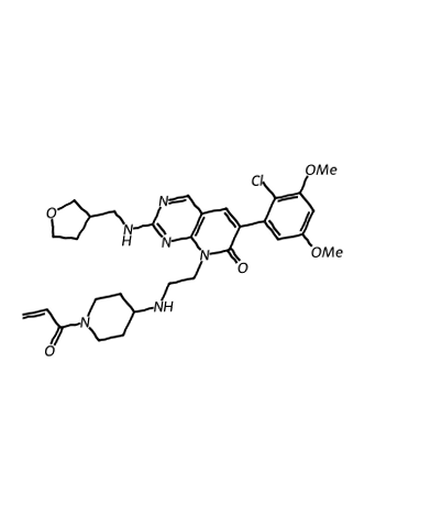 C=CC(=O)N1CCC(NCCn2c(=O)c(-c3cc(OC)cc(OC)c3Cl)cc3cnc(NCC4CCOC4)nc32)CC1